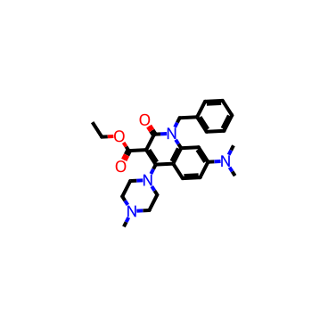 CCOC(=O)c1c(N2CCN(C)CC2)c2ccc(N(C)C)cc2n(Cc2ccccc2)c1=O